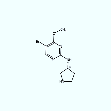 COc1nc(N[C@@H]2CCNC2)ncc1Br